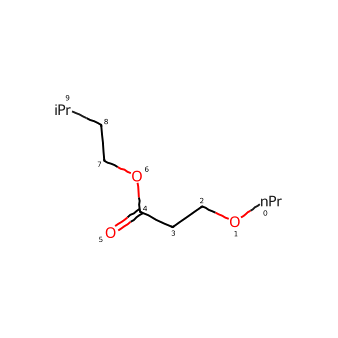 CCCOCCC(=O)OCCC(C)C